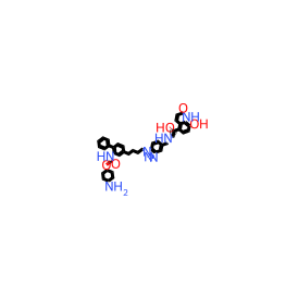 NC1CCC(OC(=O)Nc2cc(CCCCn3nnc4cc(CNC[C@H](O)c5ccc(O)c6[nH]c(=O)ccc56)ccc43)ccc2-c2ccccc2)CC1